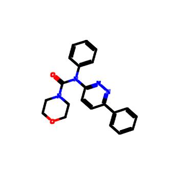 O=C(N1CCOCC1)N(c1ccccc1)c1ccc(-c2ccccc2)nn1